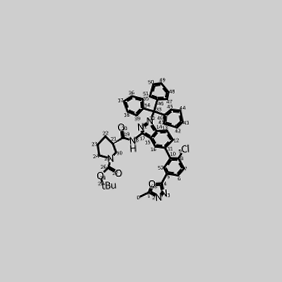 Cc1nnc(-c2ccc(Cl)c(-c3ccc4c(c3)c(NC(=O)[C@@H]3CCCN(C(=O)OC(C)(C)C)C3)nn4C(c3ccccc3)(c3ccccc3)c3ccccc3)c2)o1